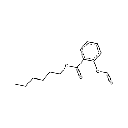 CCCCCCOC(=O)c1ccccc1OC=O